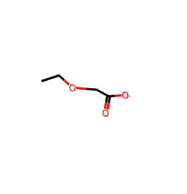 CCOCC([O])=O